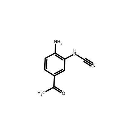 CC(=O)c1ccc(N)c(BC#N)c1